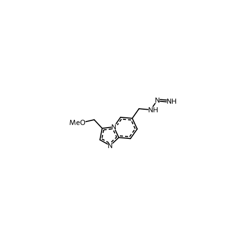 COCc1cnc2ccc(CNN=N)cn12